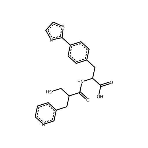 O=C(NC(Cc1ccc(-c2nccs2)cc1)C(=O)O)C(CS)Cc1cccnc1